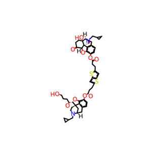 O=C(CCc1cc2sc(CCC(=O)Oc3ccc4c5c3O[C@H]3C(=O)CC[C@@]6(O)[C@@H](C4)N(CC4CC4)CC[C@]536)cc2s1)Oc1ccc2c3c1O[C@@H](C(=O)CCCO)[C@]31CCN(CC3CC3)[C@H](C2)C1